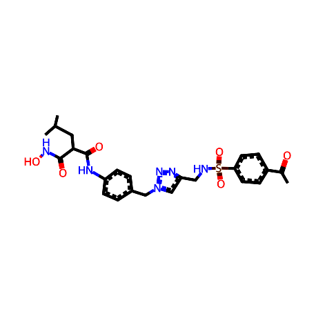 CC(=O)c1ccc(S(=O)(=O)NCc2cn(Cc3ccc(NC(=O)C(CC(C)C)C(=O)NO)cc3)nn2)cc1